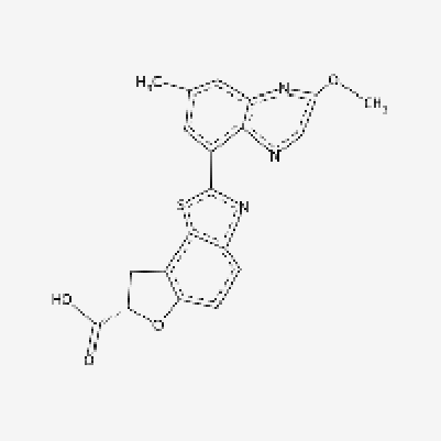 COc1cnc2c(-c3nc4ccc5c(c4s3)C[C@@H](C(=O)O)O5)cc(C)cc2n1